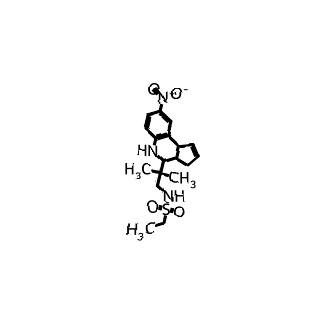 CCS(=O)(=O)NCC(C)(C)C1Nc2ccc([N+](=O)[O-])cc2C2C=CCC21